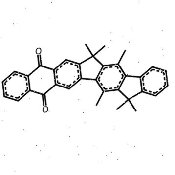 Cc1c2c(c(C)c3c1C(C)(C)c1ccccc1-3)C(C)(C)c1cc3c(cc1-2)C(=O)c1ccccc1C3=O